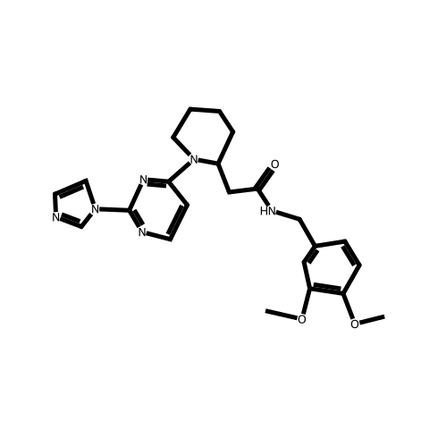 COc1ccc(CNC(=O)CC2CCCCN2c2ccnc(-n3ccnc3)n2)cc1OC